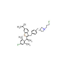 C=C(CC)c1ccc2c(Cc3ccc(C[C@H]4CCN(CCCF)C4)cc3)c(C(=C)c3c(C)cc(F)cc3C)sc2c1